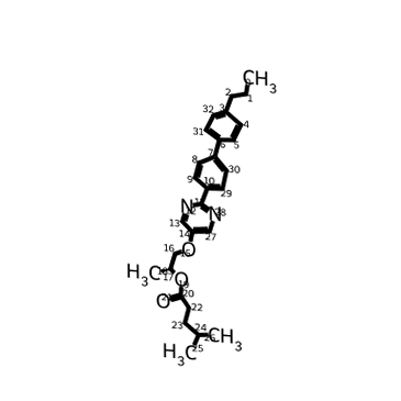 CCCc1ccc(-c2ccc(-c3ncc(OC[C@H](C)OC(=O)CCC(C)C)cn3)cc2)cc1